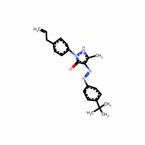 C=CCc1ccc(-n2[nH]c(C)c(/N=N/c3ccc(C(C)(C)C)cc3)c2=O)cc1